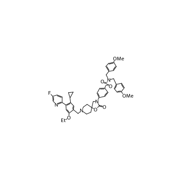 CCOc1cc(-c2ccc(F)cn2)c(C2CC2)cc1CN1CCC2(CC1)CN(c1ccc(S(=O)(=O)N(Cc3ccc(OC)cc3)Cc3ccc(OC)cc3)cc1)C(=O)O2